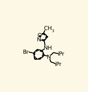 Cc1cc(Nc2cc(Br)ccc2N(CC(C)C)CC(C)C)no1